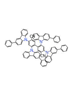 N#Cc1cc(-c2cc(C#N)c(-n3c4ccccc4c4cc(-c5ccccc5)ccc43)cc2-n2c3ccccc3c3ccc(-c4ccccc4)cc32)c(-n2c3ccccc3c3cc(-c4ccccc4)ccc32)cc1-n1c2ccccc2c2cc(-c3ccccc3)ccc21